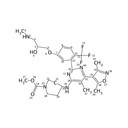 CNCC(O)COc1ccc(C(F)(F)F)c(-c2nc(NC3CCN(C(=O)OC)CC3)c(C)c(-c3c(C)noc3C)n2)c1